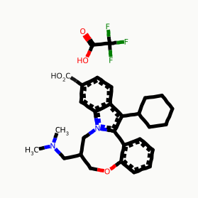 CN(C)CC1COc2ccccc2-c2c(C3CCCCC3)c3ccc(C(=O)O)cc3n2C1.O=C(O)C(F)(F)F